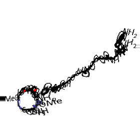 CO/N=C1/C[C@@H]([C@H](N)C[C@@H]2CC[C@H](n3cc(COC(=O)NCCOCCOCCOCCC(=O)NCCOCCOCCOCCC(=O)NCCCCn4nc(-c5ccc6oc(N)nc6c5)c5c(N)ncnc54)nn3)[C@H](OC)C2)OC(=O)[C@@H]2CCCCN2C(=O)C(=O)[C@]2(O)O[C@@H](CC[C@H]2C)C[C@H](OC)/C(C)=C/C=C/C=C/[C@@H](C)C[C@@H](C)C(=O)[C@H](O)[C@H](O)/C(C)=C/[C@H]1C